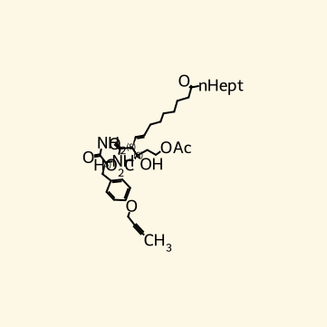 CC#CCOc1ccc(C[C@H](NC(=O)[C@@H](C=CCCCCCCC(=O)CCCCCCC)[C@@](O)(CCOC(C)=O)C(=O)O)C(N)=O)cc1